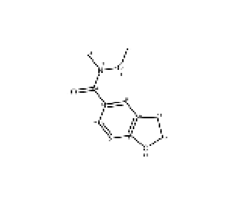 CON(C)C(=O)c1ccc2c(c1)CCO2